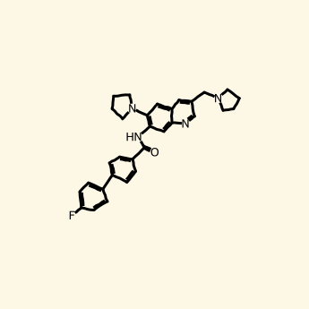 O=C(Nc1cc2ncc(CN3CCCC3)cc2cc1N1CCCC1)c1ccc(-c2ccc(F)cc2)cc1